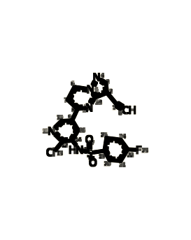 C#Cc1cnn2ccc(-c3cnc(Cl)c(NS(=O)(=O)c4ccc(F)cc4)c3)nc12